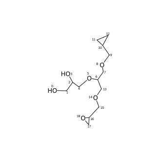 OCC(O)COC(COCC1CC1)COCC1CO1